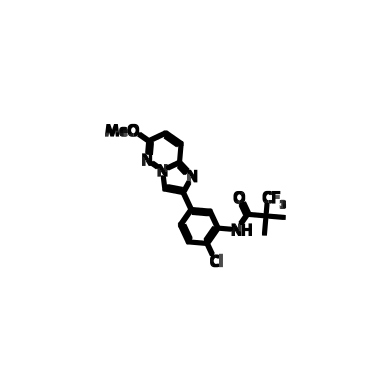 COc1ccc2nc(-c3ccc(Cl)c(NC(=O)C(C)(C)C(F)(F)F)c3)cn2n1